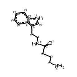 NCCCC(=O)NCCc1c[nH]c2ccccc12